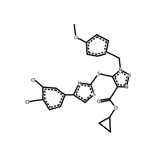 COc1ccc(Cn2nnc(C(=O)OC3CC3)c2Sc2nc(-c3ccc(Cl)c(Cl)c3)cs2)cc1